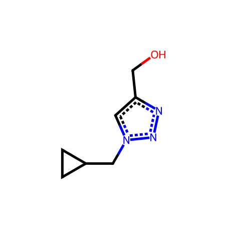 OCc1cn(CC2CC2)nn1